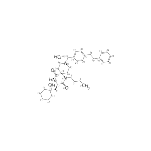 CCCCN1C(=O)[C@@H](CC2(O)CCCCC2)NC(=O)C12CCN(Cc1ccc(CCc3ccccc3)cc1)CC2.Cl